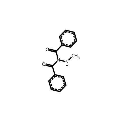 CNN(C(=O)c1ccccc1)C(=O)c1ccccc1